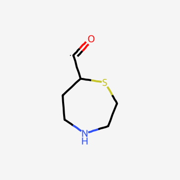 O=[C]C1CCNCCS1